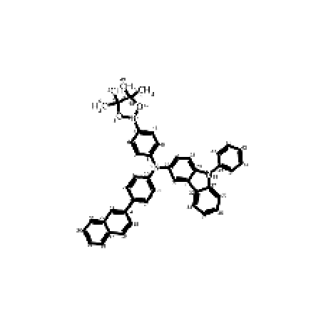 CC1(C)OB(c2ccc(N(c3ccc(-c4ccc5ccccc5c4)cc3)c3ccc4c(c3)c3ccccc3n4-c3ccccc3)cc2)OC1(C)C